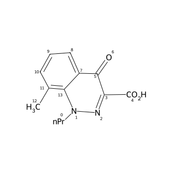 CCCn1nc(C(=O)O)c(=O)c2cccc(C)c21